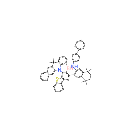 CC1(C)CCC(C)(C)c2cc(-c3cc4c(sc5ccccc54)c4c3Bc3cccc5c3N4c3cc4ccccc4cc3C5(C)C)c(Nc3ccc(-c4ccccc4)cc3)cc21